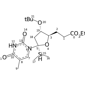 CCOC(=O)CC[C@H]1O[C@](n2cc(C)c(=O)[nH]c2=O)([SiH](C)C)C[C@@H]1OC(C)(C)C